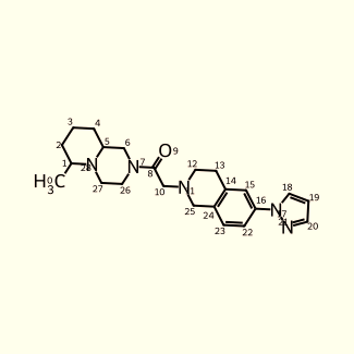 CC1CCCC2CN(C(=O)CN3CCc4cc(-n5cccn5)ccc4C3)CCN12